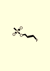 CS(=O)(=O)OCC=CF